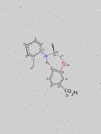 Cc1ccccc1N1Cc2ccc(C(=O)O)cc2OC[C@@H]1C